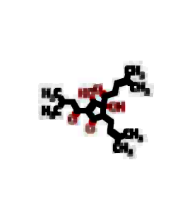 CC(C)=CCC(=O)C1(O)C(O)=C(C(=O)CC(C)C)C(=O)C1CC=C(C)C